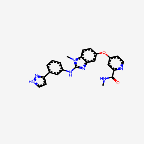 CNC(=O)c1cc(Oc2ccc3c(c2)nc(Nc2cccc(-c4cc[nH]n4)c2)n3C)ccn1